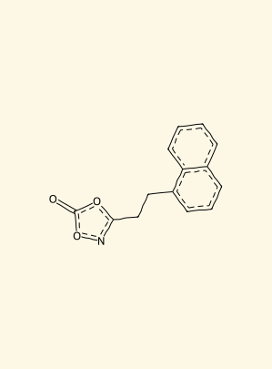 O=c1onc(CCc2cccc3ccccc23)o1